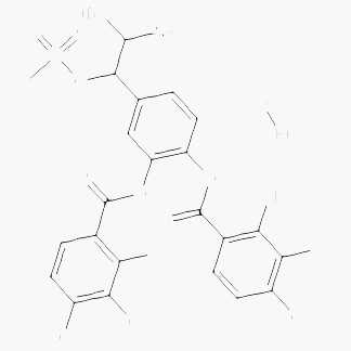 CC(C)(C)C(N)C(OS(C)(=O)=O)c1ccc(OC(=O)c2ccc(Cl)c(Cl)c2Cl)c(OC(=O)c2ccc(Cl)c(Cl)c2Cl)c1.CCO